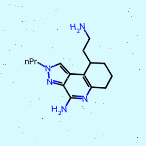 CCCn1cc2c3c(nc(N)c2n1)CCCC3CCN